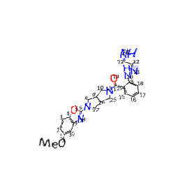 COc1ccc2oc(N3CC4CN(C(=O)c5ccccc5N/N=C\C=N)CC4C3)nc2c1